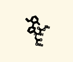 C=Cc1cccc(C)c1-c1cccc([C@H](CC(=O)OC)NC(=O)OC(C)(C)C)c1